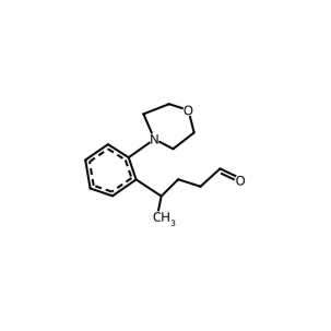 CC(CCC=O)c1ccccc1N1CCOCC1